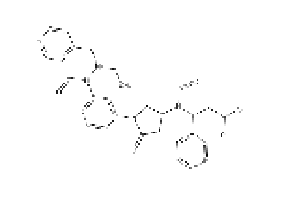 CCN(Cc1ccncc1)N(C=O)c1cccc(N2CC(N(C=O)C(CC(=O)O)c3cccnc3)CC2=O)c1